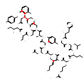 CC[C@H](C)[C@H](NC(=O)[C@H](CC(C)C)NC(=O)[C@H](Cc1ccc(O)cc1)NC(=O)[C@@H](N)Cc1c[nH]cn1)C(=O)N[C@@H](CCCNC(=N)N)C(=O)N[C@@H](CCCCN)C(=O)N[C@@H](CC(C)C)C(=O)N[C@@H](CC(=O)O)C(=O)N[C@@H](CO)C(=O)NCC(=O)NCC(=O)N[C@@H](Cc1ccccc1)C(=O)N[C@@H](Cc1ccc(O)cc1)C(=O)N[C@H](C(=O)N[C@H](C(=O)N[C@@H](CO)C(=O)N[C@@H](CCCNC(=N)N)C(=O)O)[C@@H](C)O)[C@@H](C)CC